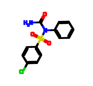 NC(=O)N(c1ccccc1)S(=O)(=O)c1ccc(Cl)cc1